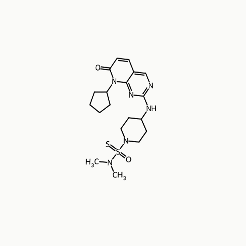 CN(C)S(=O)(=S)N1CCC(Nc2ncc3ccc(=O)n(C4CCCC4)c3n2)CC1